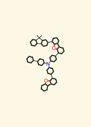 CC1(C)c2ccccc2-c2ccc(-c3cccc4c3oc3c(-c5ccc(N(c6ccc(-c7ccccc7)cc6)c6ccc(-c7cccc8c7oc7ccccc78)cc6)cc5)cccc34)cc21